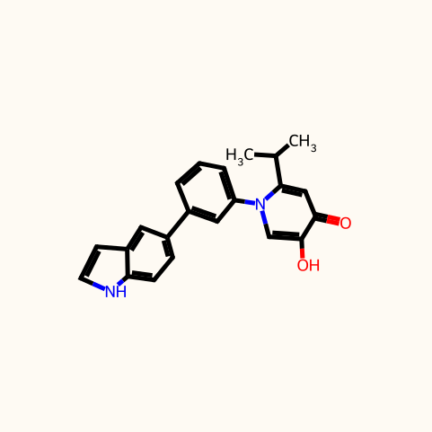 CC(C)c1cc(=O)c(O)cn1-c1cccc(-c2ccc3[nH]ccc3c2)c1